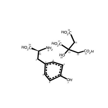 N[C@@H](Cc1ccc(O)cc1)C(=O)O.O=C(O)CC(O)(CC(=O)O)C(=O)O